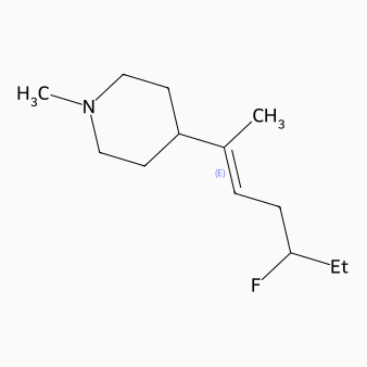 CCC(F)C/C=C(\C)C1CCN(C)CC1